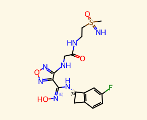 CS(=N)(=O)CCNC(=O)CNc1nonc1/C(=N\O)N[C@H]1Cc2ccc(F)cc21